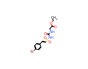 CCOC(=O)CNC(=O)NS(=O)(=O)C=Cc1ccc(Br)cc1